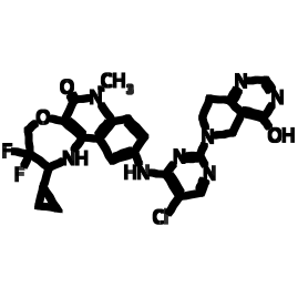 Cn1c(=O)c2c(c3cc(Nc4nc(N5CCc6ncnc(O)c6C5)ncc4Cl)ccc31)NC(C1CC1)C(F)(F)CO2